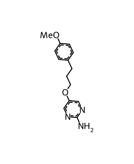 COc1ccc(CCCOc2cnc(N)nc2)cc1